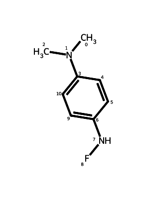 CN(C)c1ccc(NF)cc1